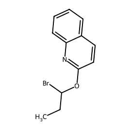 CCC(Br)Oc1ccc2ccccc2n1